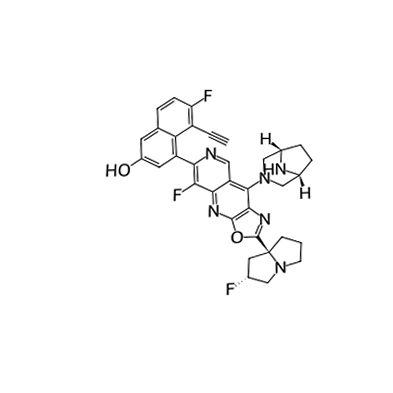 C#Cc1c(F)ccc2cc(O)cc(-c3ncc4c(N5C[C@H]6CC[C@@H](C5)N6)c5nc([C@@]67CCCN6C[C@H](F)C7)oc5nc4c3F)c12